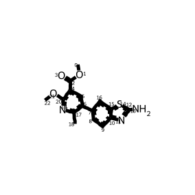 COC(=O)c1cc(-c2ccc3nc(N)sc3c2)c(C)nc1OC